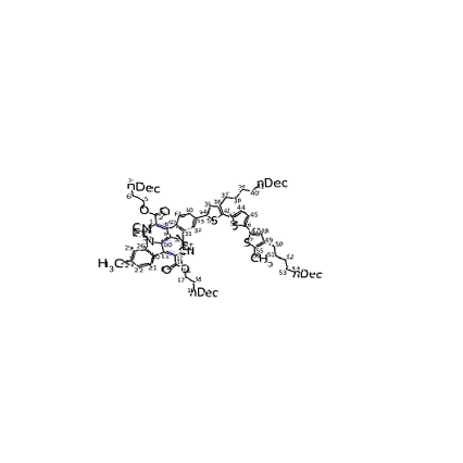 [C-]#[N+]\C(C(=O)OCCCCCCCCCCCC)=c1/c(=c2/c(=C(\C#N)C(=O)OCCCCCCCCCCCC)c3ccc(C)cc3n2CC)n(CC)c2cc(-c3cc(CCCCCCCCCCCCCC)c(-c4ccc(-c5cc(CCCCCCCCCCCCCC)c(C)s5)s4)s3)ccc12